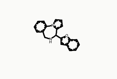 c1ccc2c(c1)CNC(c1cc3ccccc3o1)c1cccn1-2